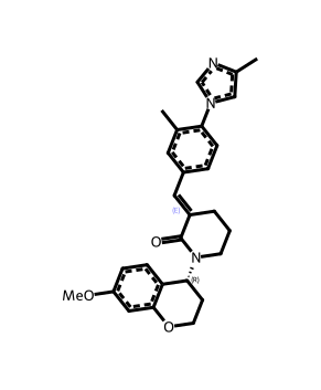 COc1ccc2c(c1)OCC[C@H]2N1CCC/C(=C\c2ccc(-n3cnc(C)c3)c(C)c2)C1=O